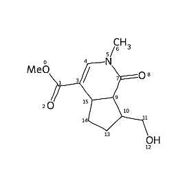 COC(=O)C1=CN(C)C(=O)C2C(CO)CCC12